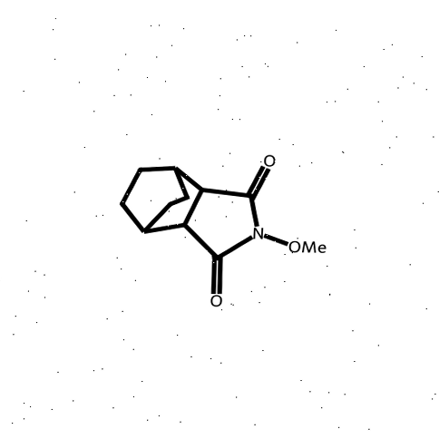 CON1C(=O)C2C3CCC(CC3)C2C1=O